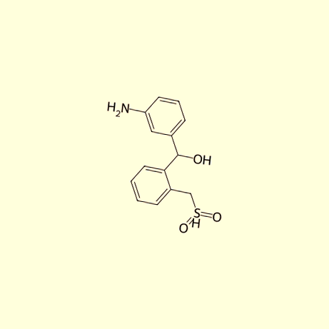 Nc1cccc(C(O)c2ccccc2C[SH](=O)=O)c1